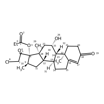 CCC(=O)O[C@@]1(C(=O)CCl)[C@H](C)C[C@H]2[C@@H]3CCC4=CC(=O)CC[C@]4(C)[C@H]3[C@@H](O)C[C@@]21C